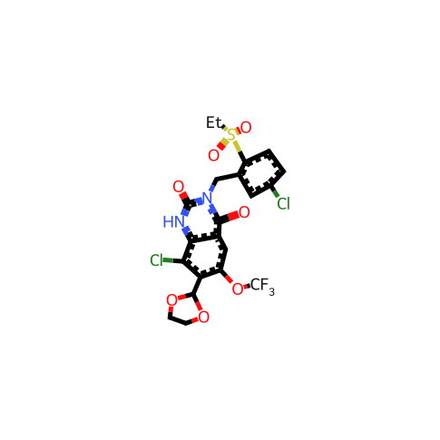 CCS(=O)(=O)c1ccc(Cl)cc1Cn1c(=O)[nH]c2c(Cl)c(C3OCCO3)c(OC(F)(F)F)cc2c1=O